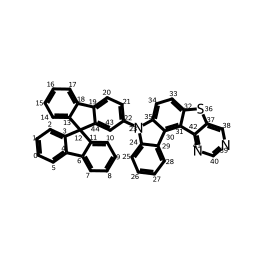 c1ccc2c(c1)-c1ccccc1C21c2ccccc2-c2ccc(-n3c4ccccc4c4c5c(ccc43)sc3cncnc35)cc21